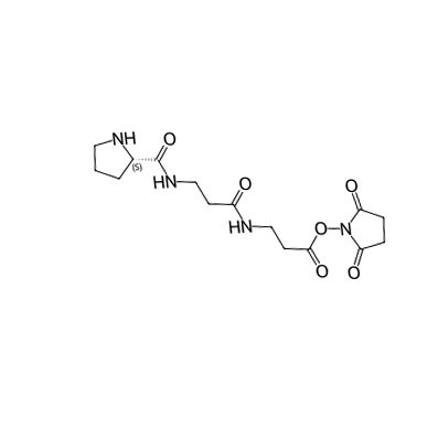 O=C(CCNC(=O)[C@@H]1CCCN1)NCCC(=O)ON1C(=O)CCC1=O